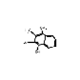 CC(=O)Oc1c(C)c(C(C)=O)c(O)c2ccccc12